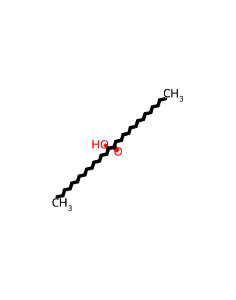 CCCCCCCCCCCCCCCC(=O)C(O)CCCCCCCCCCCCCCC